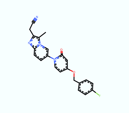 Cc1c(CC#N)nc2ccc(-n3ccc(OCc4ccc(F)cc4)cc3=O)cn12